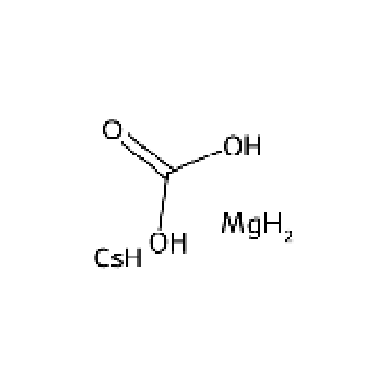 O=C(O)O.[CsH].[MgH2]